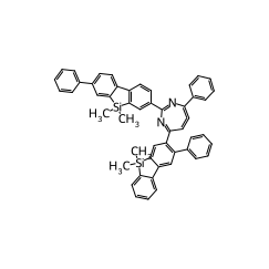 C[Si]1(C)c2cc(C3=NC(c4ccccc4)=C=CC(c4cc5c(cc4-c4ccccc4)-c4ccccc4[Si]5(C)C)=N3)ccc2-c2ccc(-c3ccccc3)cc21